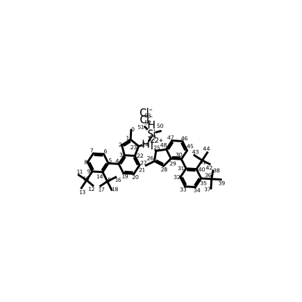 CC1=Cc2c(-c3cccc(C(C)(C)C)c3C(C)(C)C)cccc2[CH]1[Hf+2]([CH]1C(C)=Cc2c(-c3cccc(C(C)(C)C)c3C(C)(C)C)cccc21)[SiH](C)C.[Cl-].[Cl-]